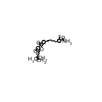 C[Si](C)(C)CCOCN1C(=O)CCC(N2Cc3cc(C#CCCCCc4ccc(C(N)=O)c(F)c4)ccc3C2=O)C1=O